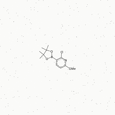 COc1ccc(B2OC(C)(C)C(C)(C)O2)c(Cl)n1